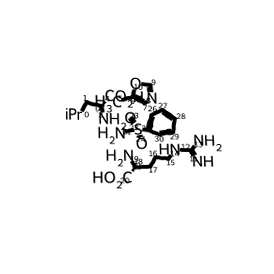 CC(C)C[C@H](N)C(=O)O.Cc1cnco1.N=C(N)NCCC[C@H](N)C(=O)O.NS(=O)(=O)c1ccccc1